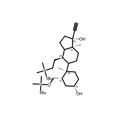 C#C[C@]1(O)CCC2[C@H](CC[Si](C)(C)C(C)(C)C)C([C@@]3(C)CC[C@H](O)C[C@@H]3CO[Si](C)(C)C(C)(C)C)CC[C@@]21C